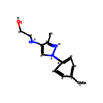 COc1ccc(-n2cc(NCCO)c(C)n2)cc1